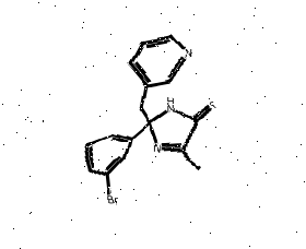 CC1=NC(Cc2cccnc2)(c2cccc(Br)c2)NC1=S